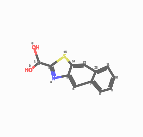 OB(O)c1nc2cc3ccccc3cc2s1